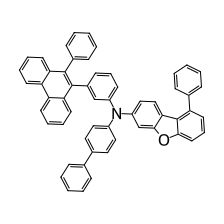 c1ccc(-c2ccc(N(c3cccc(-c4c(-c5ccccc5)c5ccccc5c5ccccc45)c3)c3ccc4c(c3)oc3cccc(-c5ccccc5)c34)cc2)cc1